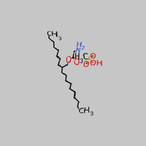 CCCCCCCCCCC(CCCCCCCC)COC(=O)CN.CS(=O)(=O)O